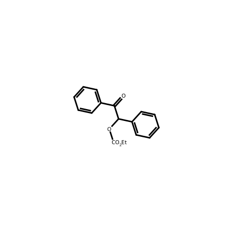 CCOC(=O)OC(C(=O)c1ccccc1)c1ccccc1